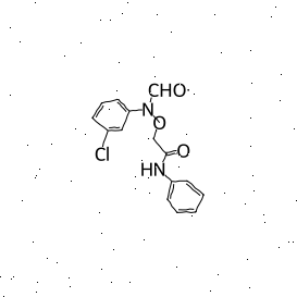 O=[C]N(OCC(=O)Nc1ccccc1)c1cccc(Cl)c1